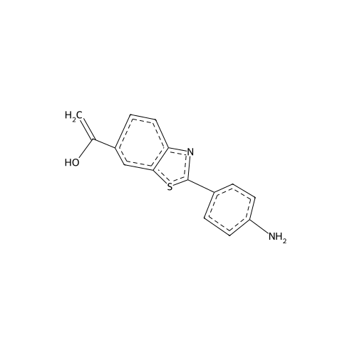 C=C(O)c1ccc2nc(-c3ccc(N)cc3)sc2c1